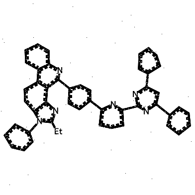 CCc1nc2c3c(-c4ccc(-c5cccc(-c6nc(-c7ccccc7)cc(-c7ccccc7)n6)n5)cc4)nc4ccccc4c3ccc2n1-c1ccccc1